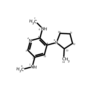 CNc1cnc(NC)c(N2CCCC2C)c1